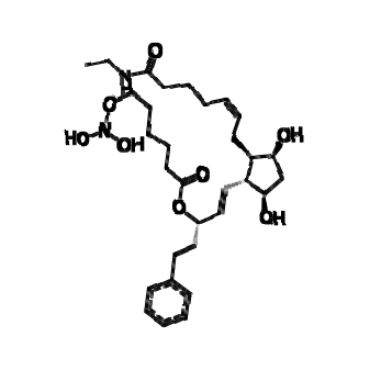 CCNC(=O)CCC/C=C\C[C@@H]1[C@@H](/C=C/[C@H](CCc2ccccc2)OC(=O)CCCCCON(O)O)[C@H](O)C[C@@H]1O